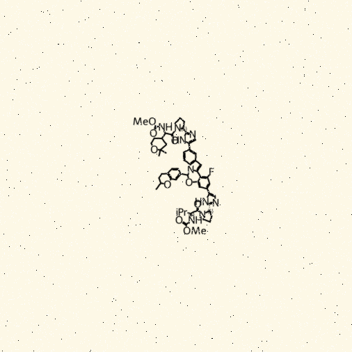 COC(=O)NC(C(=O)N1CCC[C@H]1c1ncc(-c2ccc3c(c2)cc2n3C(c3ccc4c(c3)OC(C)CC4)Oc3cc(-c4cnc([C@@H]5CCCN5C(=O)[C@@H](NC(=O)OC)C(C)C)[nH]4)cc(F)c3-2)[nH]1)C1CCOC(C)(C)C1